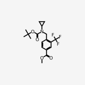 COC(=O)c1ccc(CN(C(=O)OC(C)(C)C)C2CC2)c(C(F)(F)F)c1